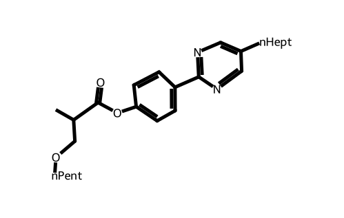 CCCCCCCc1cnc(-c2ccc(OC(=O)C(C)COCCCCC)cc2)nc1